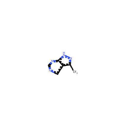 FC(F)(F)c1n[nH]c2ncncc12